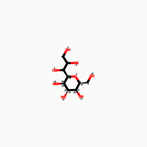 OCC(O)C(O)[C@H]1O[C@H](CO)[C@@H](O)[C@H](O)[C@H]1O